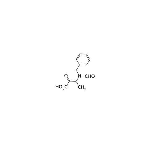 CC(C(=O)C(=O)O)N(C=O)Cc1ccccc1